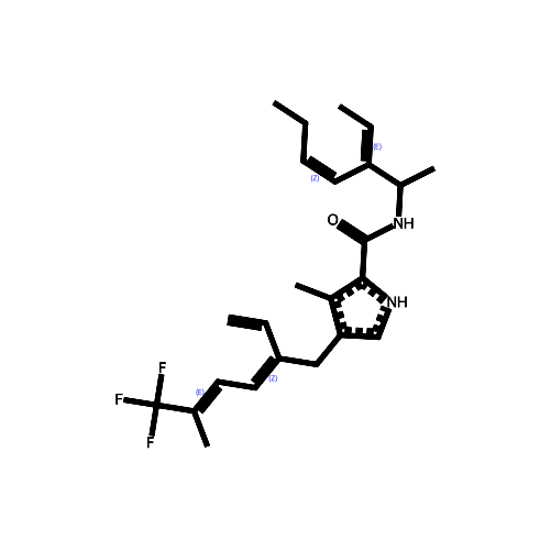 C=C/C(=C\C=C(/C)C(F)(F)F)Cc1c[nH]c(C(=O)NC(C)C(/C=C\CC)=C/C)c1C